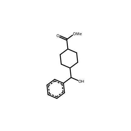 COC(=O)C1CCC(C(O)c2ccccc2)CC1